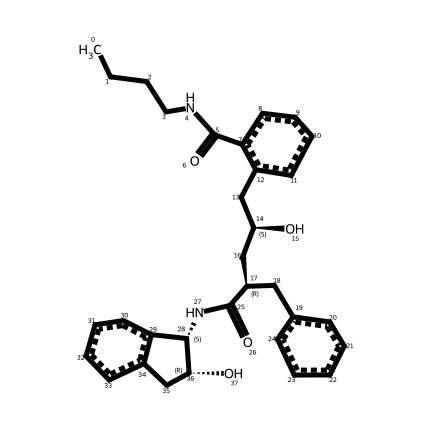 CCCCNC(=O)c1ccccc1C[C@@H](O)C[C@@H](Cc1ccccc1)C(=O)N[C@H]1c2ccccc2C[C@H]1O